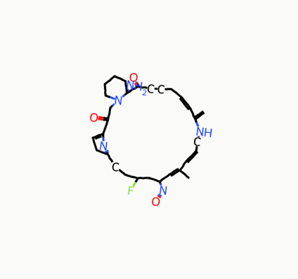 C=C1/C=C/CCCC(=O)C2(N)CCCCN2CC(=O)C2=CCC(=N2)CCC(F)CC(N=O)/C=C(C)/C=C/CN1